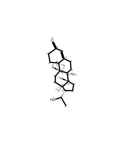 CC(O)[C@H]1CC[C@H]2[C@@H]3CCC4=CC(=O)CC[C@]4(C)[C@H]3CC[C@]12C